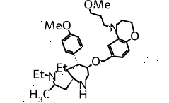 CCN(CC)C(C)C[C@H]1C[C@H](c2ccc(OC)cc2)[C@@H](OCc2ccc3c(c2)N(CCCOC)CCO3)CN1